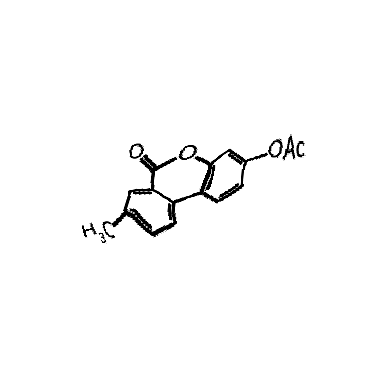 CC(=O)Oc1ccc2c(c1)oc(=O)c1cc(C)ccc12